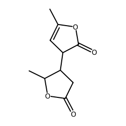 CC1=CC(C2CC(=O)OC2C)C(=O)O1